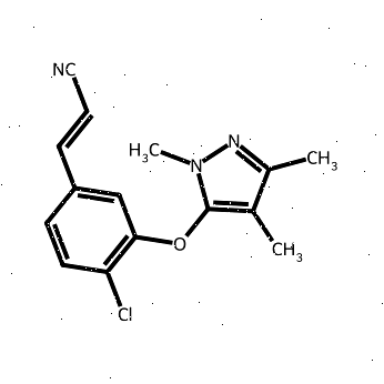 Cc1nn(C)c(Oc2cc(C=CC#N)ccc2Cl)c1C